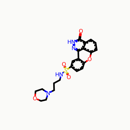 O=c1[nH]nc2c3c(cccc13)Oc1ccc(S(=O)(=O)NCCCN3CCOCC3)cc1-2